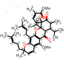 COC(=O)/C(C)=C\CC1(O)C(=O)C(C)C(C(C#N)C#N)C2C(=O)c3c(OC)c4c(c(CC=C(C)C)c3OC21C(C)C(C)C)OC(C)(CCC=C(C)C)C=C4